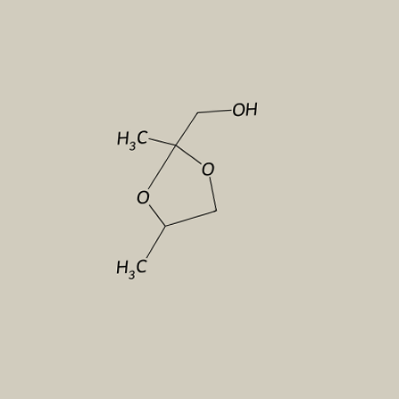 CC1COC(C)(CO)O1